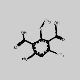 CSc1c(C(=O)O)c(C)cc(O)c1C(=O)O